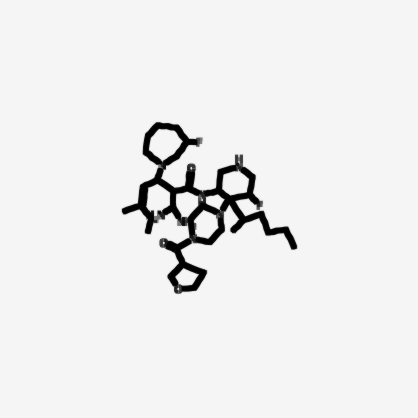 CCCCC(C)C1(N2CCN(C(=O)C3CCOC3)CC2)C(F)CNCC1NC(=O)C(C(N)N)C(/C=C(/C)CC)N1CCCCC(F)C1